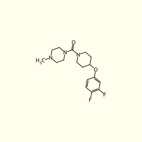 CN1CCN(C(=O)N2CCC(Oc3ccc(F)c(F)c3)CC2)CC1